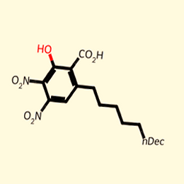 CCCCCCCCCCCCCCCc1cc([N+](=O)[O-])c([N+](=O)[O-])c(O)c1C(=O)O